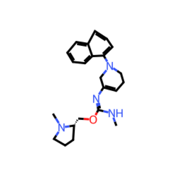 CN/C(=N\C1=CCCN(c2cccc3ccccc23)C1)OC[C@@H]1CCCN1C